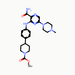 CN1CCN(c2cnc(C(N)=O)c(Nc3ccc(C4CCN(C(=O)OC(C)(C)C)CC4)cc3)n2)CC1